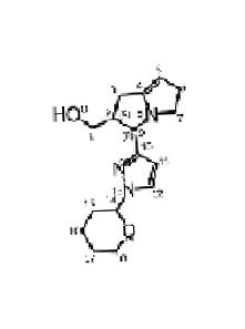 OC[C@H]1CC2=CCCN2[C@H]1c1ccn(C2CCCCO2)n1